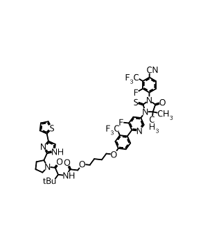 CC(C)(C)C(NC(=O)COCCCCOc1ccc(-c2ncc(N3C(=S)N(c4ccc(C#N)c(C(F)(F)F)c4F)C(=O)C3(C)C)cc2F)c(C(F)(F)F)c1)C(=O)N1CCCC1c1nc(-c2cccs2)c[nH]1